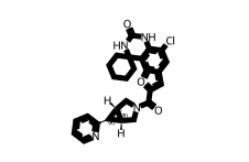 O=C1Nc2c(Cl)cc3cc(C(=O)N4C[C@@H]5[C@H](C4)[C@H]5c4ccccn4)oc3c2C2(CCCCC2)N1